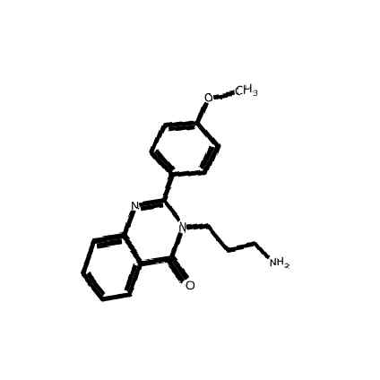 COc1ccc(-c2nc3ccccc3c(=O)n2CCCN)cc1